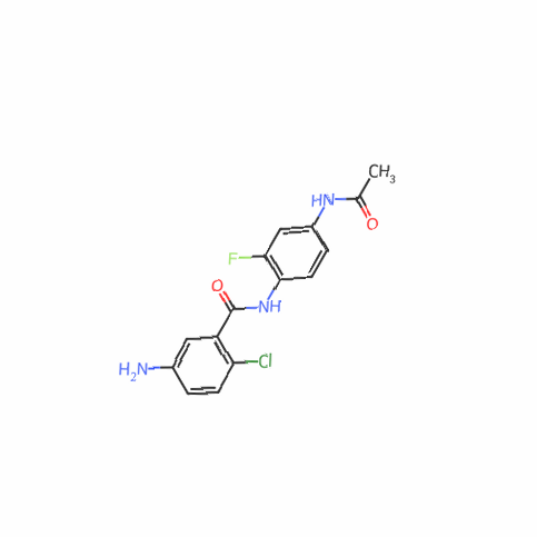 CC(=O)Nc1ccc(NC(=O)c2cc(N)ccc2Cl)c(F)c1